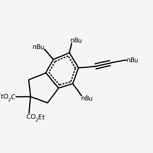 CCCCC#Cc1c(CCCC)c(CCCC)c2c(c1CCCC)CC(C(=O)OCC)(C(=O)OCC)C2